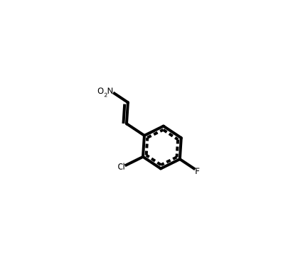 O=[N+]([O-])C=Cc1ccc(F)cc1Cl